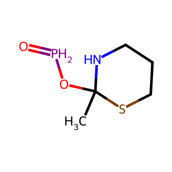 CC1(O[PH2]=O)NCCCS1